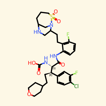 O=C(O)N[C@H](C(=O)Nc1cccc(F)c1CCC1CNC2CCCS(=O)(=O)N1C2)[C@H](CCC1CCOCC1)c1ccc(Cl)c(F)c1